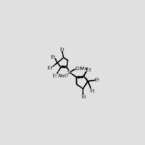 CCC1=C([Si](OC)(OC)C2=C(CC)C(CC)(CC)C(CC)C2)CC(CC)C1(CC)CC